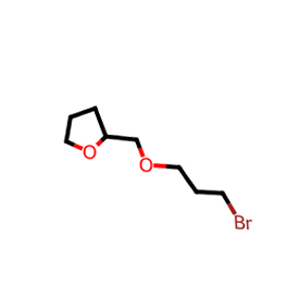 BrCCCOCC1CCCO1